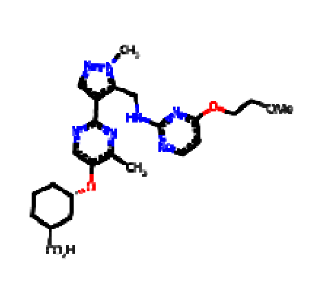 COCCOc1ccnc(NCc2c(-c3ncc(O[C@H]4CCC[C@H](C(=O)O)C4)c(C)n3)cnn2C)n1